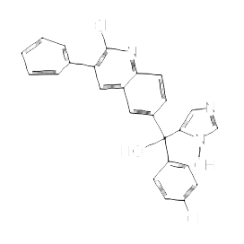 Cn1cncc1C(O)(c1ccc(Cl)cc1)c1ccc2nc(Cl)c(-c3ccccc3)cc2c1